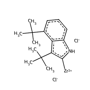 CC(C)(C)c1cccc2[nH][c]([Zr+2])c(C(C)(C)C)c12.[Cl-].[Cl-]